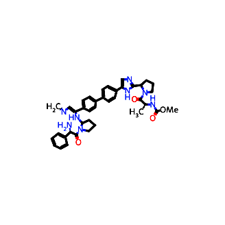 C=N/C=C(\NC1CCCN1C(=O)[C@H](N)c1ccccc1)c1ccc(-c2ccc(-c3cnc(C4CCCN4C(=O)[C@H](C)NC(=O)OC)[nH]3)cc2)cc1